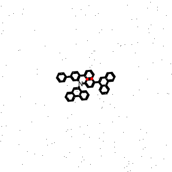 c1ccc(-c2ccc(-c3ccccc3)c(N(c3ccc(-c4cc5ccccc5c5ccccc45)cc3)c3cc4ccccc4c4ccccc34)c2)cc1